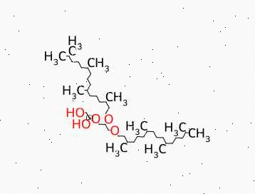 CC(C)CCCC(C)CCCC(C)CCCC(C)CCOCC(CO[C@H](O)CO)OCCC(C)CCCC(C)CCCC(C)CCCC(C)C